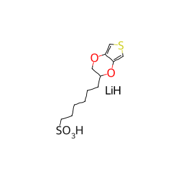 O=S(=O)(O)CCCCCCC1COc2cscc2O1.[LiH]